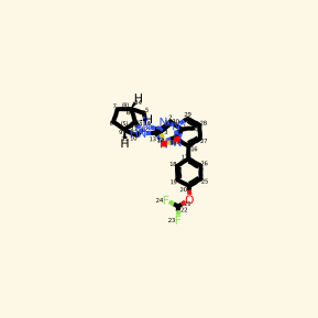 Cc1cc(N2C[C@H]3CC[C@@H](C2)[C@@H]3Nc2nc3c(-c4ccc(OC(F)F)cc4)cccn3n2)sn1